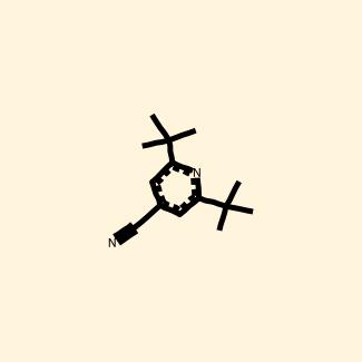 CC(C)(C)c1cc(C#N)cc(C(C)(C)C)n1